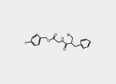 O=C(CNC(=O)C(CBr)Cc1ccccc1)OCc1ccc(F)cc1